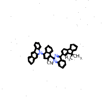 CC1(C)c2ccccc2-c2ccc(-c3nc(-c4c(C#N)cc(-n5c6ccccc6c6cc7ccccc7cc65)c5ccccc45)nc4ccccc34)cc21